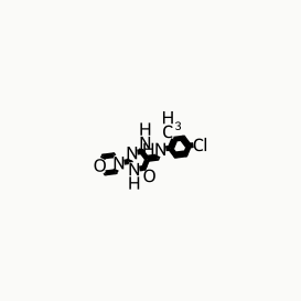 Cc1cc(Cl)ccc1N/C=C1\C(=N)N=C(N2CCOCC2)NC1=O